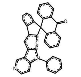 O=C1c2ccccc2C2(c3ccccc31)c1ccccc1-c1cc3c4cnccc4n(-c4ccccc4)c3cc12